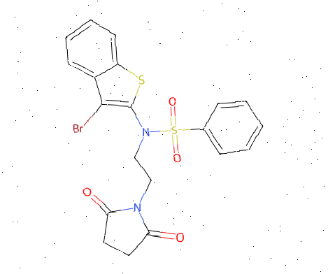 O=C1CCC(=O)N1CCN(c1sc2ccccc2c1Br)S(=O)(=O)c1ccccc1